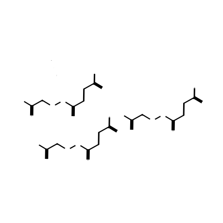 O=C([O-])CCC(=O)OOCC(=O)O.O=C([O-])CCC(=O)OOCC(=O)O.O=C([O-])CCC(=O)OOCC(=O)O.[K+].[K+].[K+]